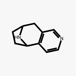 c1cc2c(cn1)CC1CCC2N1